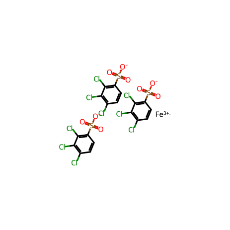 O=S(=O)([O-])c1ccc(Cl)c(Cl)c1Cl.O=S(=O)([O-])c1ccc(Cl)c(Cl)c1Cl.O=S(=O)([O-])c1ccc(Cl)c(Cl)c1Cl.[Fe+3]